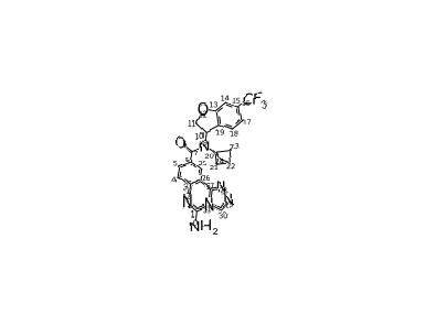 Nc1nc2ccc(C(=O)N(C3COc4cc(C(F)(F)F)ccc43)C34CC(C3)C4)cc2c2nncn12